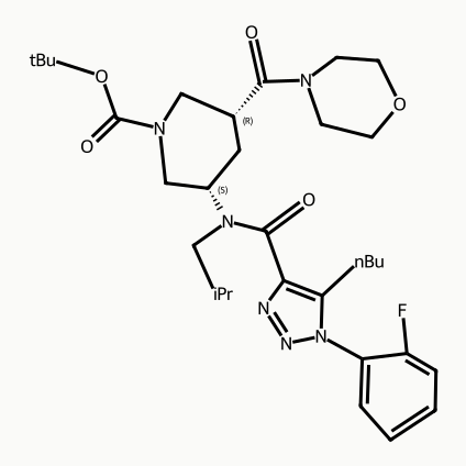 CCCCc1c(C(=O)N(CC(C)C)[C@H]2C[C@@H](C(=O)N3CCOCC3)CN(C(=O)OC(C)(C)C)C2)nnn1-c1ccccc1F